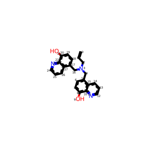 C=CCN(Cc1ccc(O)c2ncccc12)Cc1ccc(O)c2ncccc12